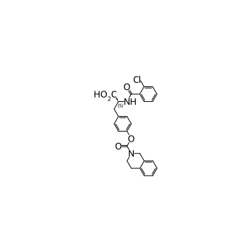 O=C(N[C@@H](Cc1ccc(OC(=O)N2CCc3ccccc3C2)cc1)C(=O)O)c1ccccc1Cl